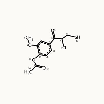 COc1cc(C(=O)C(Cl)CS)ccc1OC(C)=O